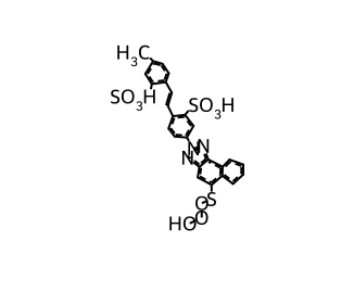 Cc1ccc(C=Cc2ccc(-n3nc4cc(SOOO)c5ccccc5c4n3)cc2S(=O)(=O)O)c(S(=O)(=O)O)c1